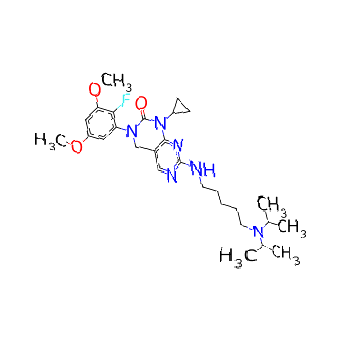 COc1cc(OC)c(F)c(N2Cc3cnc(NCCCCCN(C(C)C)C(C)C)nc3N(C3CC3)C2=O)c1